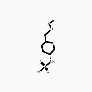 CCS(=O)(=O)N[C@@H]1CC[C@@H](COSI)OC1